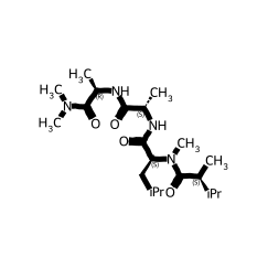 CC(C)C[C@@H](C(=O)N[C@@H](C)C(=O)N[C@H](C)C(=O)N(C)C)N(C)C(=O)[C@@H](C)C(C)C